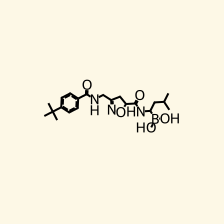 CC(C)CC(NC(=O)C1CC(CNC(=O)c2ccc(C(C)(C)C)cc2)=NO1)B(O)O